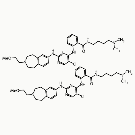 COCCN1CCc2ccc(Nc3ncc(Cl)c(Nc4ccccc4C(=O)NCCCCN(C)C)n3)cc2CC1.COCCN1CCc2ccc(Nc3ncc(Cl)c(Nc4ccccc4C(=O)NCCCCN(C)C)n3)cc2CC1